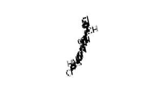 O=c1n(-c2ccc(N3CCN(C(=S)Nc4ccc(Cl)cc4)CC3)nc2)cnn1CCCC(O)c1ccc(Cl)cc1